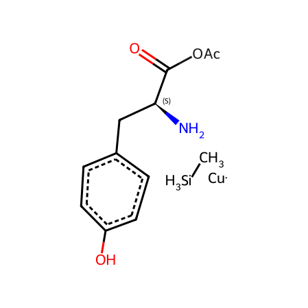 CC(=O)OC(=O)[C@@H](N)Cc1ccc(O)cc1.C[SiH3].[Cu]